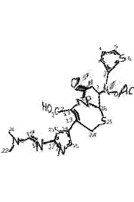 CC(=O)N(c1cccs1)C1C(=O)N2C(C(=O)O)=C(c3cnc(N=CN(C)C)s3)CSC12